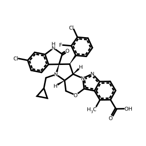 Cc1c(C(=O)O)ccc2nn3c(c12)OC[C@H]1[C@@H]3[C@H](c2cccc(Cl)c2F)[C@]2(C(=O)Nc3cc(Cl)ccc32)N1CC1CC1